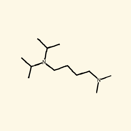 CC(C)N(CCCCN(C)C)C(C)C